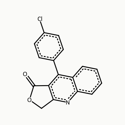 O=C1OCc2nc3ccccc3c(-c3ccc(Cl)cc3)c21